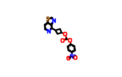 O=C(Oc1ccc([N+](=O)[O-])cc1)OC1CC(c2nccc3scnc23)C1